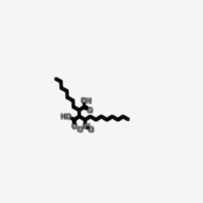 CCCCCCCCC(C(C(=O)O)C(CCCCCCC)C(=O)O)[N+](=O)[O-]